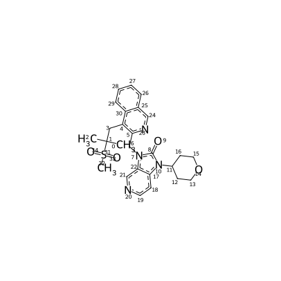 CC(C)(Cc1c(Cn2c(=O)n(C3CCOCC3)c3ccncc32)ncc2ccccc12)S(C)(=O)=O